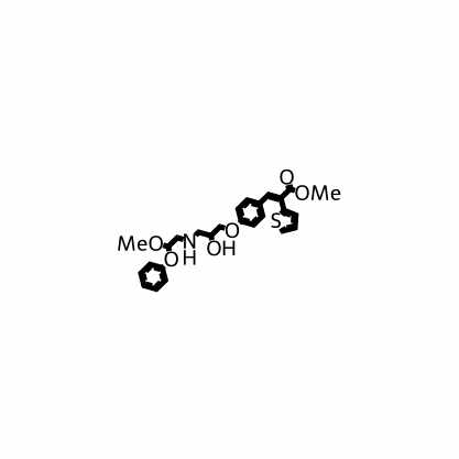 COC(=O)C(=Cc1ccc(OCC(O)CNCC(OC)Oc2ccccc2)cc1)c1cccs1